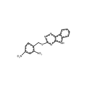 O=[N+]([O-])c1ccc(CSc2nnc3c(n2)[nH]c2ccccc23)c([N+](=O)[O-])c1